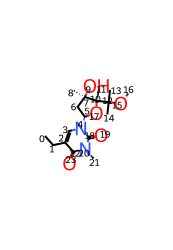 CCc1cn([C@@H]2C[C@@](C)(O)[C@](C)(C(C)(C)OC)O2)c(=O)n(C)c1=O